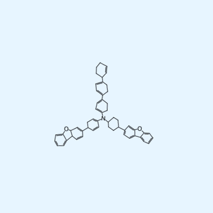 C1=CC(C2=CC=C(C3=CC=C(N(C4=CCC(C5=CC6Oc7ccccc7C6C=C5)C=C4)C4CCC(c5ccc6c(c5)oc5ccccc56)CC4)CC3)CC2)CCC1